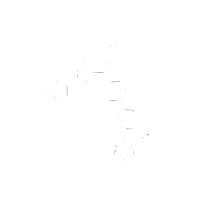 Cn1cc(-c2c[nH]c(/C(=N\C=N)N3CCN(c4ncc([C@](C)(O)c5ccccc5)cn4)CC3)c2)cn1